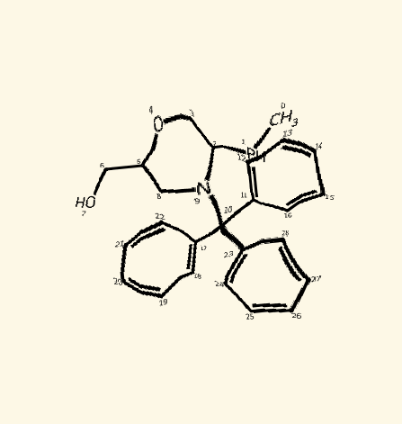 CPC1COC(CO)CN1C(c1ccccc1)(c1ccccc1)c1ccccc1